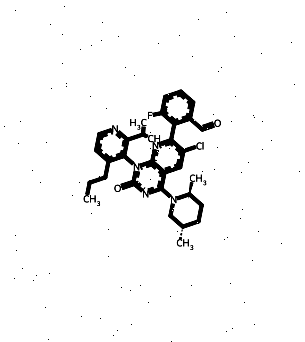 CCCc1ccnc(C(C)C)c1-n1c(=O)nc(N2C[C@@H](C)CC[C@@H]2C)c2cc(Cl)c(-c3c(F)cccc3C=O)nc21